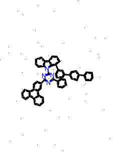 c1ccc(-c2ccc(-c3cccc(-c4cccc5c6ccccc6n(-c6nc(-c7ccccc7)nc(-c7ccc8c9ccccc9c9ccccc9c8c7)n6)c45)c3)cc2)cc1